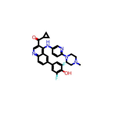 CN1CCN(c2ccc(Nc3c(C(=O)C4CC4)cnc4ccc(-c5cc(F)c(O)c(F)c5)cc34)cn2)CC1